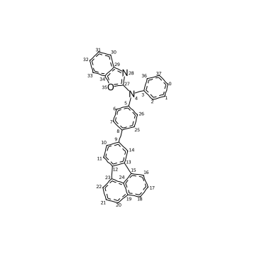 c1ccc(N(c2ccc(-c3ccc4c(c3)-c3cccc5cccc-4c35)cc2)c2nc3ccccc3o2)cc1